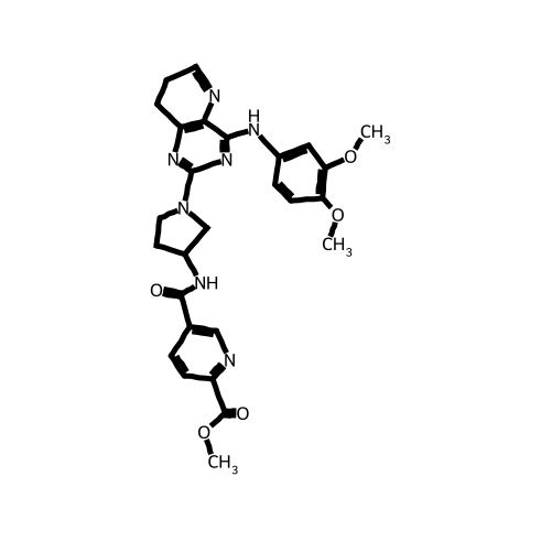 COC(=O)c1ccc(C(=O)NC2CCN(c3nc4c(c(Nc5ccc(OC)c(OC)c5)n3)N=CCC4)C2)cn1